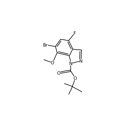 COc1c(Br)cc(F)c2cnn(C(=O)OC(C)(C)C)c12